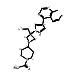 C/C=C\c1c(C)ncnc1-c1cnn(C2(CC#N)CN(C3CCN(C(=O)OCC(C)C)CC3)C2)c1